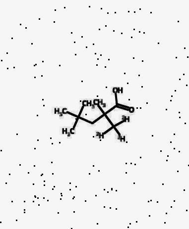 [2H]C([2H])([2H])C(C)(CC(C)(C)C)C(=O)O